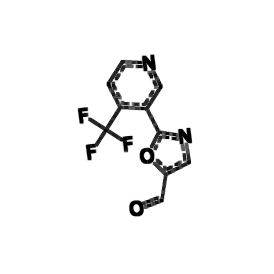 O=Cc1cnc(-c2cnccc2C(F)(F)F)o1